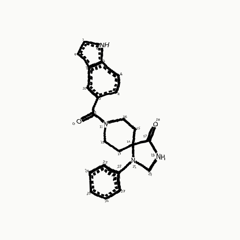 O=C(c1ccc2[nH]ccc2c1)N1CCC2(CC1)C(=O)NCN2c1ccccc1